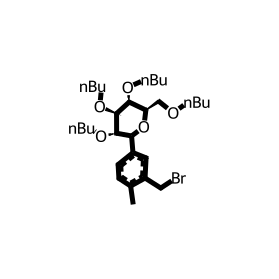 CCCCOC[C@H]1OC(c2ccc(C)c(CBr)c2)[C@H](OCCCC)[C@@H](OCCCC)[C@@H]1OCCCC